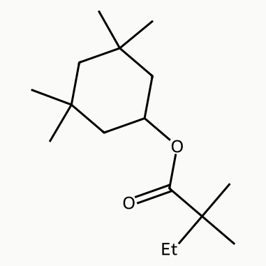 CCC(C)(C)C(=O)OC1CC(C)(C)CC(C)(C)C1